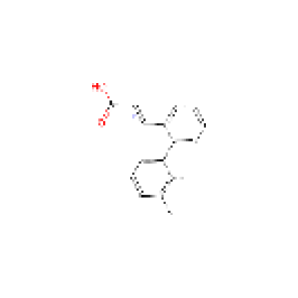 Cc1cccc(-c2ccccc2/C=C/C(=O)O)c1C